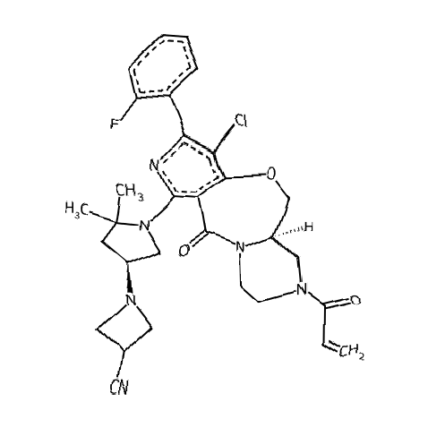 C=CC(=O)N1CCN2C(=O)c3c(N4C[C@@H](N5CC(C#N)C5)CC4(C)C)nc(-c4ccccc4F)c(Cl)c3OC[C@H]2C1